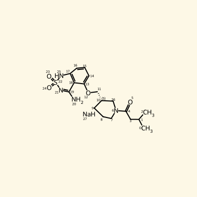 CC(C)CC(=O)N1CCC[C@H](COc2cccc3c2C(N)=NS(=O)(=O)N3)C1.[NaH]